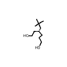 CC(C)(C)C[C@H](CCO)CCCO